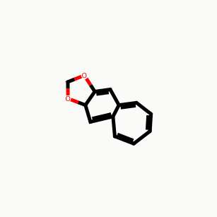 [CH]1OC2=CC3=CC=CC=CC3=CC2O1